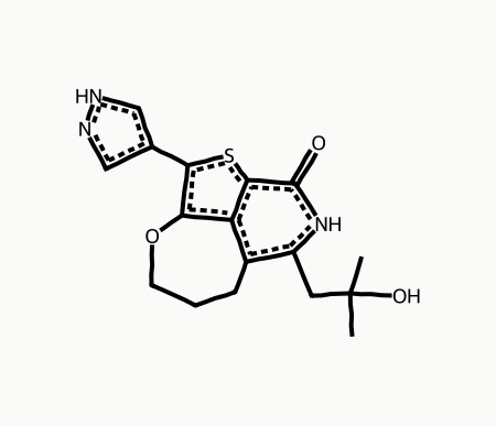 CC(C)(O)Cc1[nH]c(=O)c2sc(-c3cn[nH]c3)c3c2c1CCCO3